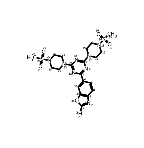 [2H]c1nc2ccc(-c3nc(N4CCN(S(C)(=O)=O)CC4)nc(N4CCN(S(C)(=O)=O)CC4)n3)cc2o1